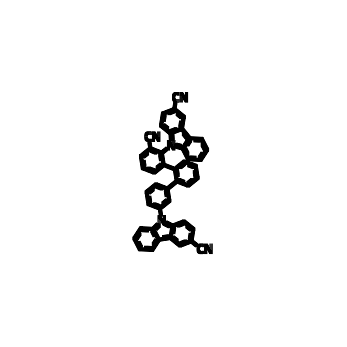 N#Cc1ccc2c(c1)c1ccccc1n2-c1cccc(-c2ccccc2-c2cccc(C#N)c2-n2c3ccccc3c3cc(C#N)ccc32)c1